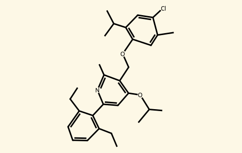 CCc1cccc(CC)c1-c1cc(OC(C)C)c(COc2cc(C)c(Cl)cc2C(C)C)c(C)n1